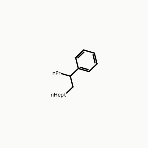 CCCCCCCCC(CCC)c1[c]cccc1